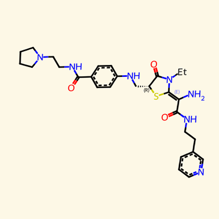 CCN1C(=O)[C@@H](CNc2ccc(C(=O)NCCN3CCCC3)cc2)S/C1=C(/N)C(=O)NCCc1cccnc1